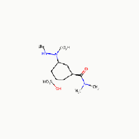 CN(C)C(=O)[C@H]1CCCC(N(NC(C)(C)C)C(=O)O)C1.O=S(=O)(O)O